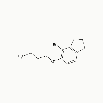 CCCCOc1ccc2c(c1Br)CCC2